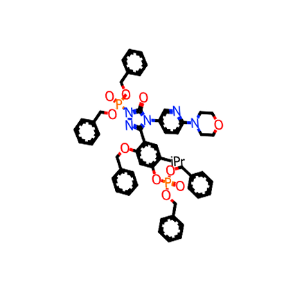 CC(C)c1cc(-c2nn(P(=O)(OCc3ccccc3)OCc3ccccc3)c(=O)n2-c2ccc(N3CCOCC3)nc2)c(OCc2ccccc2)cc1OP(=O)(OCc1ccccc1)OCc1ccccc1